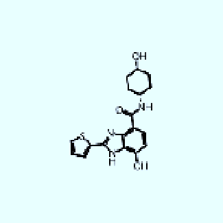 O=C(N[C@H]1CC[C@H](O)CC1)c1ccc(O)c2[nH]c(-c3cccs3)nc12